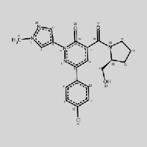 Cn1cc(-n2nc(-c3ccc(Cl)cc3)cc(C(=O)N3CCC[C@H]3CO)c2=O)cn1